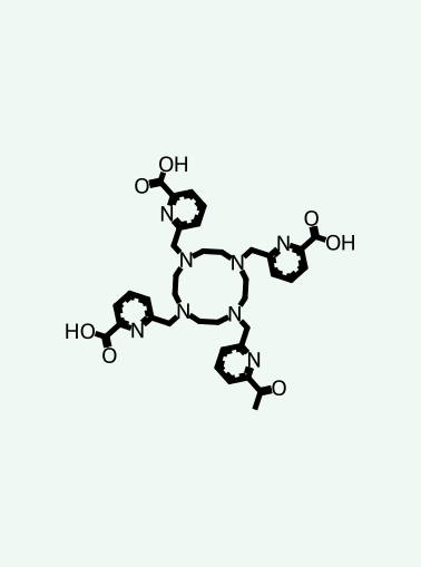 CC(=O)c1cccc(CN2CCN(Cc3cccc(C(=O)O)n3)CCN(Cc3cccc(C(=O)O)n3)CCN(Cc3cccc(C(=O)O)n3)CC2)n1